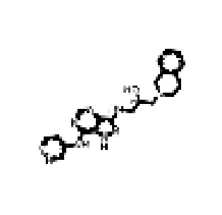 O[C@H](CNc1n[nH]c2c(Nc3ccnnc3)ncnc12)CN1CCc2ccccc2C1